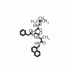 C[C@H](NC(=O)[C@H](CC(=O)NOC(C)(C)C)NC(=O)Cc1ccccc1)C(=O)NCc1cccc2ccccc12